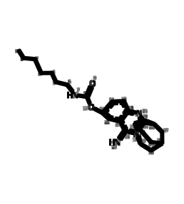 CCCCCCCNC(=O)Oc1ccc2nc3n(c(=N)c2c1)C1CC2CC(CC3C2)C1